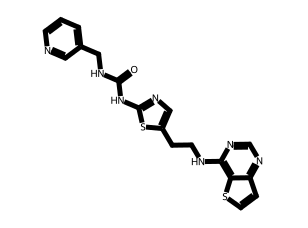 O=C(NCc1cccnc1)Nc1ncc(CCNc2ncnc3ccsc23)s1